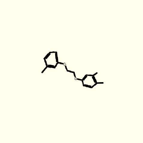 Cc1cccc(OCCOc2ccc(C)c(C)c2)c1